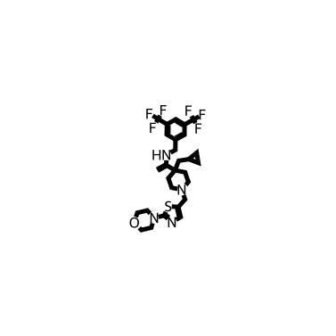 C=C(NCc1cc(C(F)(F)F)cc(C(F)(F)F)c1)C1(CC2CC2)CCN(Cc2cnc(N3CCOCC3)s2)CC1